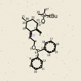 C=C1/C(=C\COP(c2ccccc2)c2ccccc2)C[C@@H](C)C[C@@H]1O[Si](C)(C)C(C)(C)C